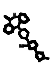 Cn1cc(-c2ccc(N3CCN(C4c5ccccc5NC(=O)c5ccccc54)CC3)c(C#N)c2)cn1